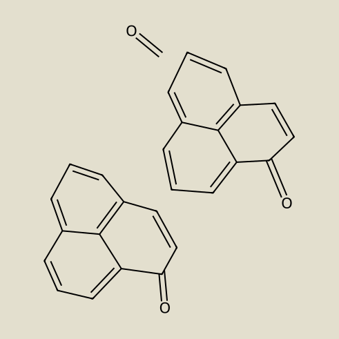 C=O.O=C1C=Cc2cccc3cccc1c23.O=C1C=Cc2cccc3cccc1c23